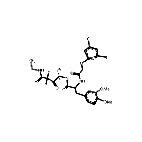 COc1ccc(CC(NC(=O)COc2cc(Cl)cc(Cl)c2)C(=O)N[C@H](C(=O)C(F)(F)C(=O)NCC(F)(F)F)C(C)C)cc1OC